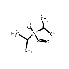 CC(C)[N+](Cl)(C=O)C(C)C